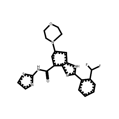 O=C(Nc1nccs1)c1cc(N2CCOCC2)cc2[nH]c(-c3ccccc3C(F)F)nc12